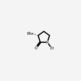 CCN1CC[C@@H](C(C)(C)C)C1=O